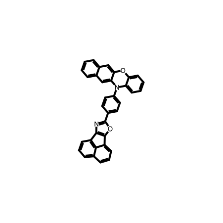 c1ccc2c(c1)Oc1cc3ccccc3cc1N2c1ccc(-c2nc3c(o2)-c2cccc4cccc-3c24)cc1